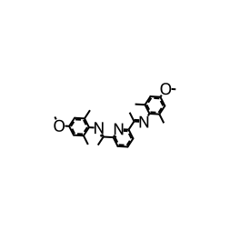 COc1cc(C)c(/N=C(\C)c2cccc(/C(C)=N/c3c(C)cc(OC)cc3C)n2)c(C)c1